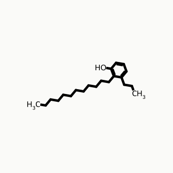 CCCCCCCCCCCCc1c(O)cccc1CCC